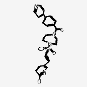 O=C(c1ccc(-c2ccncc2)cc1)N1CCN(S(=O)(=O)C=Cc2ccc(Cl)nc2)CC1